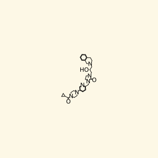 O=C(C1CC1)N1CCN(c2ccc(CN3CCN(C[C@H](O)CN4CCc5ccccc5C4)C3=O)nc2)CC1